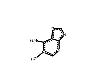 Nc1c2ncnc-2ncn1O